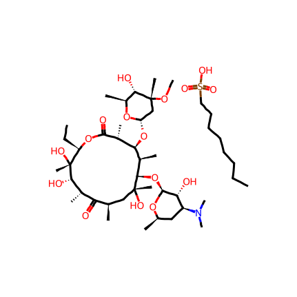 CCCCCCCCS(=O)(=O)O.CC[C@H]1OC(=O)[C@H](C)[C@@H](O[C@H]2C[C@@](C)(OC)[C@@H](O)[C@H](C)O2)[C@@H](C)[C@@H](O[C@@H]2O[C@H](C)C[C@H](N(C)C)[C@H]2O)[C@](C)(O)C[C@@H](C)C(=O)[C@H](C)[C@H](O)[C@]1(C)O